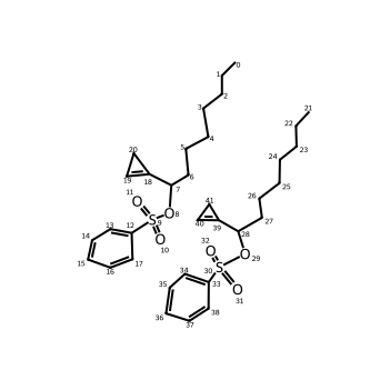 CCCCCCCC(OS(=O)(=O)c1ccccc1)C1=CC1.CCCCCCCC(OS(=O)(=O)c1ccccc1)C1=CC1